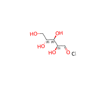 O=C[C@@H](O)[C@H](O)[C@H](O)CO.[C]